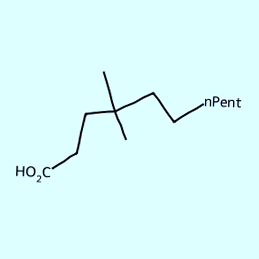 CCCCCCCC(C)(C)CCC(=O)O